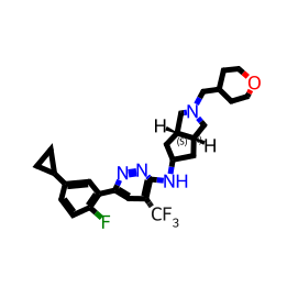 Fc1ccc(C2CC2)cc1-c1cc(C(F)(F)F)c(NC2C[C@@H]3CN(CC4CCOCC4)C[C@@H]3C2)nn1